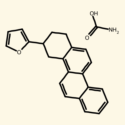 NC(=O)O.c1coc(C2CCc3ccc4c(ccc5ccccc54)c3C2)c1